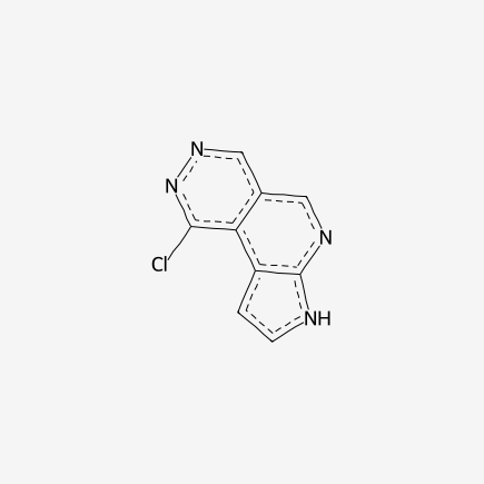 Clc1nncc2cnc3[nH]ccc3c12